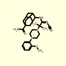 COc1ccccc1N1CCN(C(C)(C)/C(=N\C#N)NC2C3CC4CC2CC(C(N)=O)(C4)C3)CC1